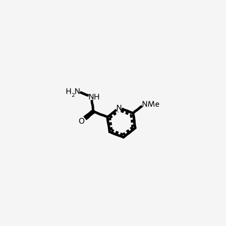 CNc1cccc(C(=O)NN)n1